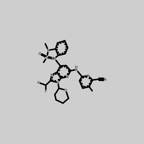 Cc1ccc(Nc2cc(Nc3ccccc3N(C)S(C)(=O)=O)c3nc(C(F)F)n(C4CCCCO4)c3n2)nc1C#N